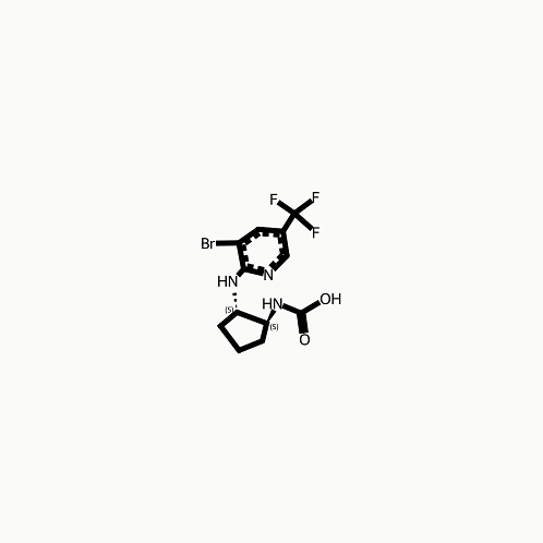 O=C(O)N[C@H]1CCC[C@@H]1Nc1ncc(C(F)(F)F)cc1Br